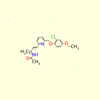 CCOc1ccc(OCc2cccc(/C=C/[C@H](C)NC(C)=O)n2)c(Cl)c1